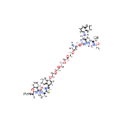 C=CC(=O)N1CCN(c2nc(OC[C@@H]3C[C@@H](OCCOCCOCCOCCOCCOc4ccc(-c5csc([C@@H]6CCCN6C(=O)[C@@H](NC(=O)[C@H](C)NC)C6CCCCC6)n5)c5ccccc45)CN3C)nc3c2CCN(c2cccc4ccccc24)C3)C[C@@H]1CC#N